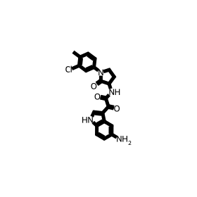 Cc1ccc(N2CCC(NC(=O)C(=O)c3c[nH]c4ccc(N)cc34)C2=O)cc1Cl